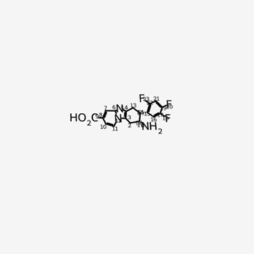 N[C@H]1Cc2c(nc3cc(C(=O)O)ccn23)C[C@@H]1c1cc(F)c(F)cc1F